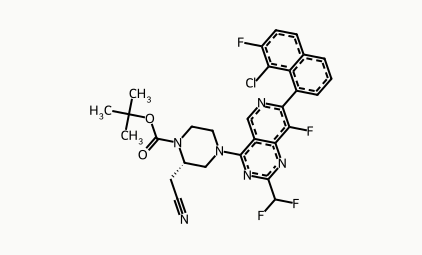 CC(C)(C)OC(=O)N1CCN(c2nc(C(F)F)nc3c(F)c(-c4cccc5ccc(F)c(Cl)c45)ncc23)C[C@@H]1CC#N